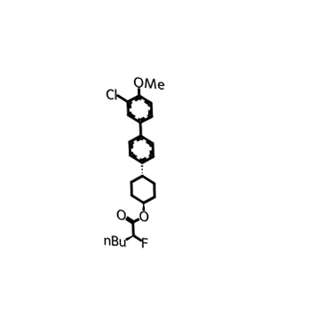 CCCC[C@H](F)C(=O)O[C@H]1CC[C@H](c2ccc(-c3ccc(OC)c(Cl)c3)cc2)CC1